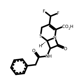 O=C(Cc1ccccc1)NC1C(=O)N2C(C(=O)O)=C(C(F)F)CS[C@H]12